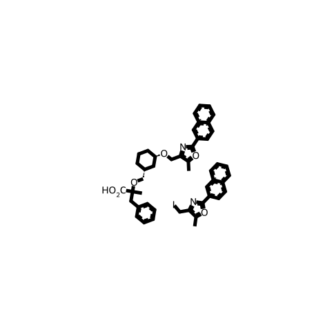 Cc1oc(-c2ccc3ccccc3c2)nc1CI.Cc1oc(-c2ccc3ccccc3c2)nc1CO[C@H]1CCC[C@@H](COC(C)(Cc2ccccc2)C(=O)O)C1